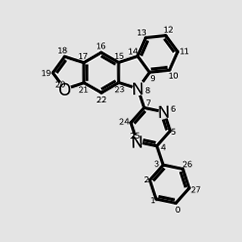 c1ccc(-c2cnc(-n3c4ccccc4c4cc5ccoc5cc43)cn2)cc1